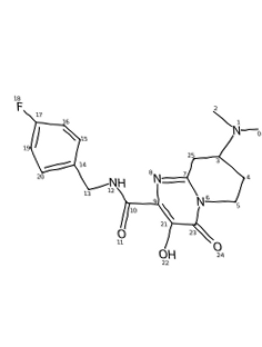 CN(C)C1CCn2c(nc(C(=O)NCc3ccc(F)cc3)c(O)c2=O)C1